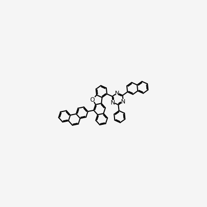 c1ccc(-c2nc(-c3ccc4ccccc4c3)nc(-c3cccc4oc5c(-c6ccc7c(ccc8ccccc87)c6)c6ccccc6cc5c34)n2)cc1